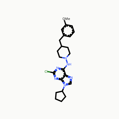 COc1cccc(CC2CCN(Nc3nc(Cl)nc4c3ncn4C3CCCC3)CC2)c1